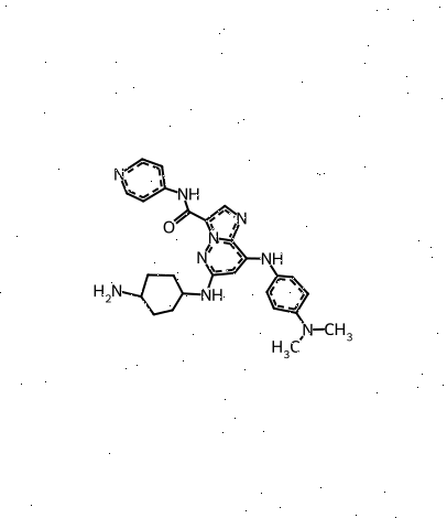 CN(C)c1ccc(Nc2cc(NC3CCC(N)CC3)nn3c(C(=O)Nc4ccncc4)cnc23)cc1